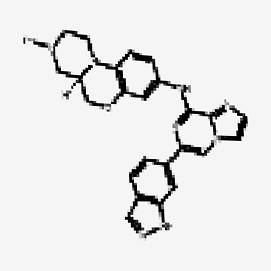 CCN1CCN2c3ccc(Nc4nc(-c5ccc6cn[nH]c6c5)cn5ccnc45)cc3OC[C@H]2C1